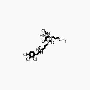 CCCCn1c(=O)n(CCCc2nc(Cc3ccc(Cl)c(Cl)c3Cl)no2)c(=O)c2[nH]c(Cl)nc21